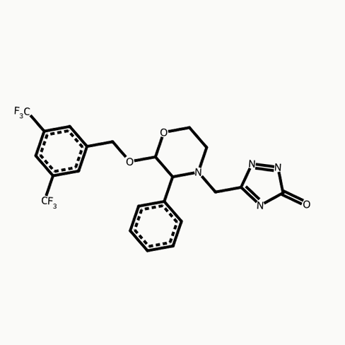 O=C1N=NC(CN2CCOC(OCc3cc(C(F)(F)F)cc(C(F)(F)F)c3)C2c2ccccc2)=N1